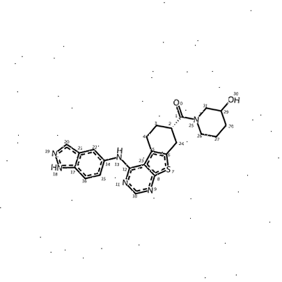 O=C([C@H]1CCc2c(sc3ncnc(Nc4ccc5[nH]ncc5c4)c23)C1)N1CCCC(O)C1